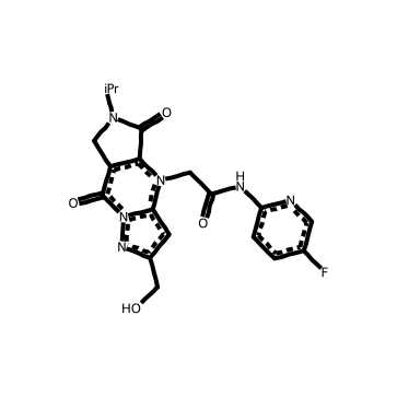 CC(C)N1Cc2c(n(CC(=O)Nc3ccc(F)cn3)c3cc(CO)nn3c2=O)C1=O